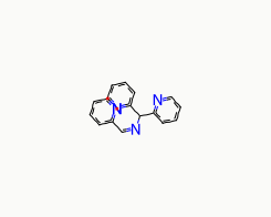 C(=N/C(c1ccccn1)c1ccccn1)/c1ccccn1